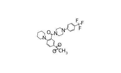 CS(=O)(=O)c1ccc(N2CCCCC2)c(C(=O)N2CCN(c3ccc(C(F)(F)F)cc3)CC2)c1